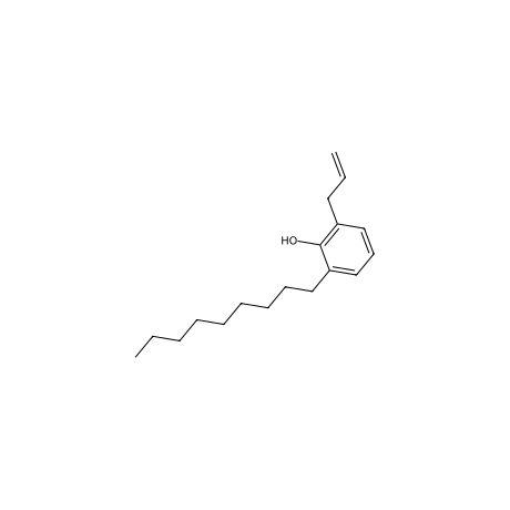 C=CCc1cccc(CCCCCCCCC)c1O